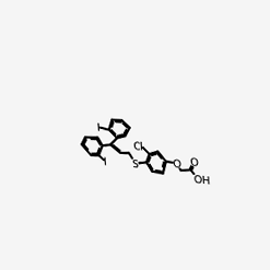 O=C(O)COc1ccc(SCC=C(c2ccccc2I)c2ccccc2I)c(Cl)c1